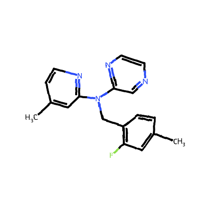 Cc1ccnc(N(Cc2ccc(C)cc2F)c2cnccn2)c1